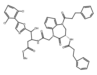 CC(C)(C)OC(=O)CC(NC(=O)CN1C(=O)[C@@H](NC(=O)CCc2ccccc2)CN(C(=O)CCc2ccccc2)c2ccccc21)C(O)c1ncc(-c2c(Cl)cccc2Cl)o1